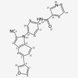 N#Cc1cc2cc(-c3ccoc3)ccc2n1-c1ccc(NC(=O)c2cccnc2)cc1